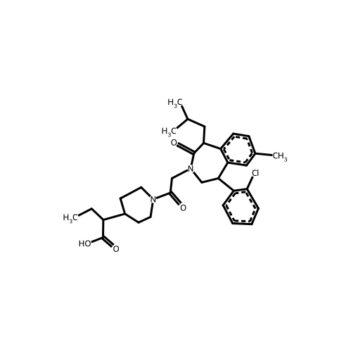 CCC(C(=O)O)C1CCN(C(=O)CN2CC(c3ccccc3Cl)c3cc(C)ccc3C(CC(C)C)C2=O)CC1